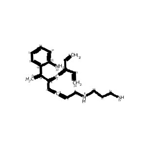 C=CC(=C=C(C=C=CCNCCCS)C(=C)c1ccccc1N)C=C